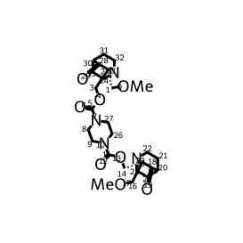 COC[C@]1(COC(=O)N2CCN(C(=O)OC[C@@]3(COC)C(=O)C4CCN3CC4)CC2)C(=O)C2CCN1CC2